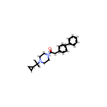 CC(C)(C1CC1)N1CCN(C(=O)Cc2ccc(-c3ccccc3)cc2)CC1